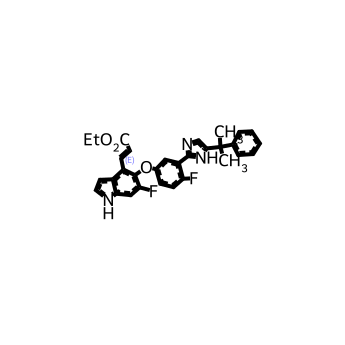 CCOC(=O)/C=C/c1c(Oc2ccc(F)c(-c3ncc(C(C)(C)c4ccccc4)[nH]3)c2)c(F)cc2[nH]ccc12